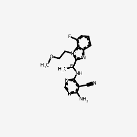 COCCn1c([C@H](C)Nc2ncnc(N)c2C#N)nc2cccc(F)c21